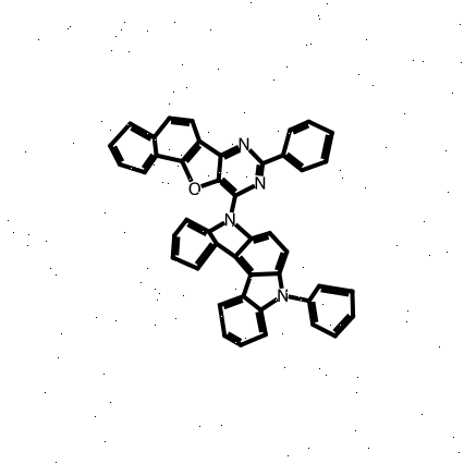 c1ccc(-c2nc(-n3c4ccccc4c4c5c6ccccc6n(-c6ccccc6)c5ccc43)c3oc4c5ccccc5ccc4c3n2)cc1